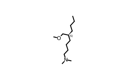 CCCC[C@@H](CCCCN(C)C)COC